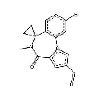 CN1C(=O)c2cc(C=O)cn2-c2cc(Br)ccc2C12CC2